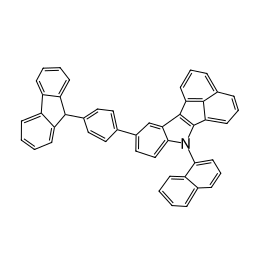 c1ccc2c(c1)-c1ccccc1C2c1ccc(-c2ccc3c(c2)c2c(n3-c3cccc4ccccc34)-c3cccc4cccc-2c34)cc1